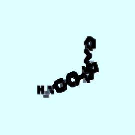 NC1CCN(c2ccc(-c3ncc4c(n3)N(CCCN3CCCC3)CC4)cc2)CC1